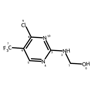 OCNc1ncc(C(F)(F)F)c(Cl)n1